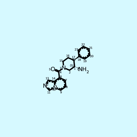 N[C@@H]1CN(C(=O)c2cccn3cncc23)CC[C@H]1c1ccccc1